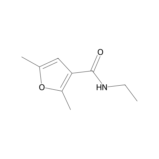 CCNC(=O)c1cc(C)oc1C